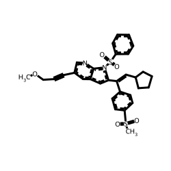 COCC#Cc1cnc2c(c1)cc(C(=CC1CCCC1)c1ccc(S(C)(=O)=O)cc1)n2S(=O)(=O)c1ccccc1